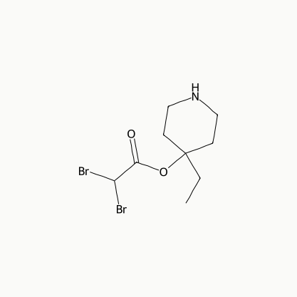 CCC1(OC(=O)C(Br)Br)CCNCC1